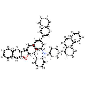 c1cc(-c2ccc3ccccc3c2)cc(N(c2ccc(-c3cccc4c3ccc3ccccc34)cc2)c2ccccc2-c2cccc3c2oc2cc4ccccc4cc23)c1